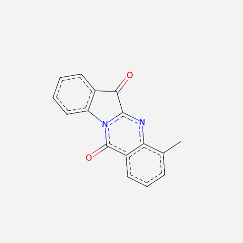 Cc1cccc2c(=O)n3c(nc12)C(=O)c1ccccc1-3